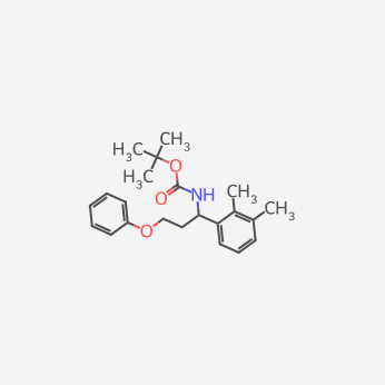 Cc1cccc(C(CCOc2ccccc2)NC(=O)OC(C)(C)C)c1C